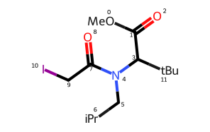 COC(=O)C(N(CC(C)C)C(=O)CI)C(C)(C)C